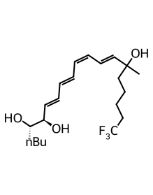 CCCC[C@H](O)[C@H](O)/C=C/C=C/C=C\C=C\C(C)(O)CCCCC(F)(F)F